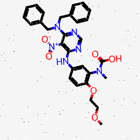 COCCOc1ccc(Nc2ncnc(N(Cc3ccccc3)Cc3ccccc3)c2[N+](=O)[O-])cc1N(C)C(=O)O